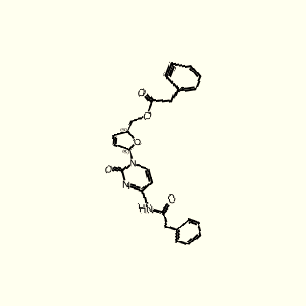 O=C(Cc1ccccc1)Nc1ccn([C@H]2C=C[C@@H](COC(=O)Cc3ccccc3)O2)c(=O)n1